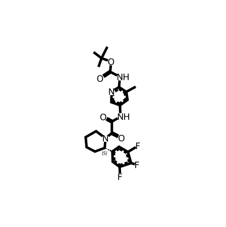 Cc1cc(NC(=O)C(=O)N2CCCC[C@H]2c2cc(F)c(F)c(F)c2)cnc1NC(=O)OC(C)(C)C